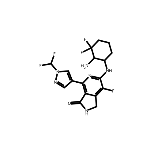 NC1C(Nc2nc(-c3cnn(C(F)F)c3)c3c(c2F)CNC3=O)CCCC1(F)F